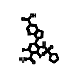 NC(=O)c1c(F)cc(-n2ccc3cc(C(=O)O)cnc32)c(NS(=O)(=O)C2CCCC2)c1F